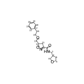 O=C(NCC1CCOC1)C1=NOC(COCCc2ccccc2)C1